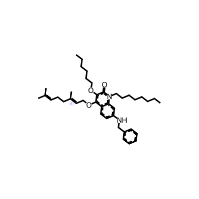 CCCCCCCCn1c(=O)c(OCCCCCC)c(OC/C=C(\C)CCC=C(C)C)c2ccc(NCc3ccccc3)cc21